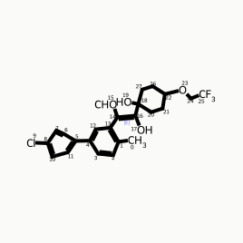 Cc1ccc(-c2ccc(Cl)cc2)cc1/C(C=O)=C(\O)C1(O)CCC(OCC(F)(F)F)CC1